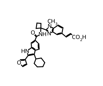 Cn1c(C2(NC(=O)c3ccc4c(C5CCCCC5)c(-c5ccoc5)[nH]c4c3)CCC2)nc2cc(/C=C/C(=O)O)ccc21